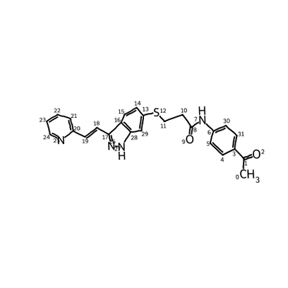 CC(=O)c1ccc(NC(=O)CCSc2ccc3c(/C=C/c4ccccn4)n[nH]c3c2)cc1